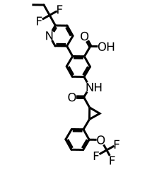 CCC(F)(F)c1ccc(-c2ccc(NC(=O)C3CC3c3ccccc3OC(F)(F)F)cc2C(=O)O)cn1